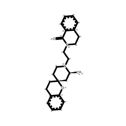 C[C@H]1C[C@@]2(CCc3ccccc3O2)CCN1CCN1CCc2ccccc2C1=O